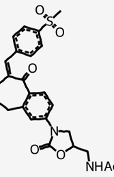 CC(=O)NCC1CN(c2ccc3c(c2)CCCC(=Cc2ccc(S(C)(=O)=O)cc2)C3=O)C(=O)O1